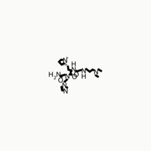 CCN(CC)CCCNCC(=O)NC(CC[C@@H]1CCCN1C)C(=O)N(CCn1ccnc1)CC(N)=O